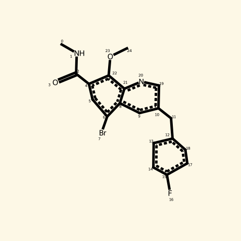 CNC(=O)c1cc(Br)c2cc(Cc3ccc(F)cc3)cnc2c1OC